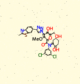 CO[C@@H]1[C@@H](n2cc(-c3ccc4nc(C)sc4c3)nn2)[C@@H](O)[C@@H](CO)O[C@H]1C(=O)N(c1cc(Cl)cc(Cl)c1)[C@H]1CCCC[C@@H]1O